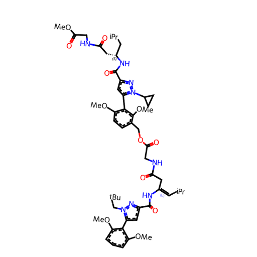 COC(=O)CNC(=O)C[C@H](CC(C)C)NC(=O)c1cc(-c2c(OC)ccc(COC(=O)CNC(=O)C/C(=C\C(C)C)NC(=O)c3cc(-c4c(OC)cccc4OC)n(CC(C)(C)C)n3)c2OC)n(C2CC2)n1